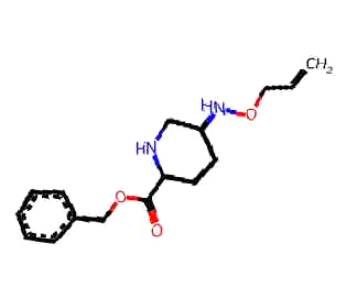 C=CCONC1CCC(C(=O)OCc2ccccc2)NC1